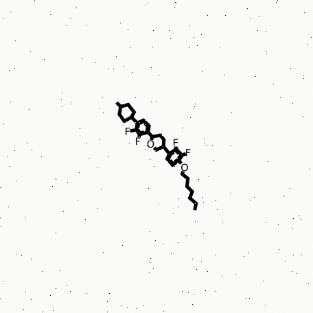 CCCCCCCOc1ccc(C2CCC(c3ccc(C4CCC(C)CC4)c(F)c3F)OC2)c(F)c1F